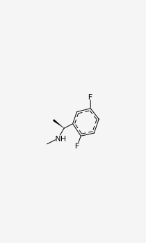 CN[C@@H](C)c1cc(F)ccc1F